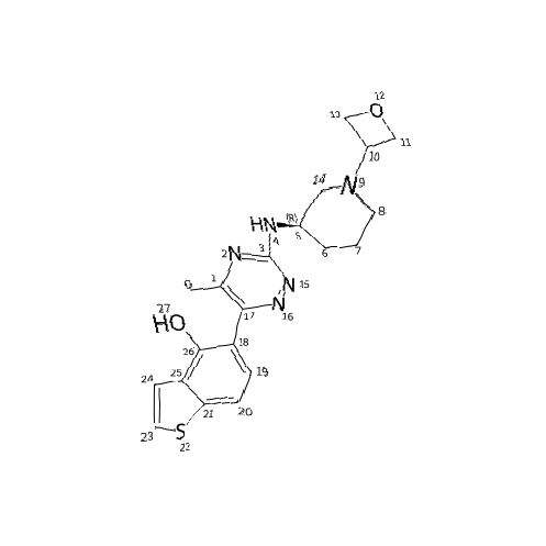 Cc1nc(N[C@@H]2CCCN(C3COC3)C2)nnc1-c1ccc2sccc2c1O